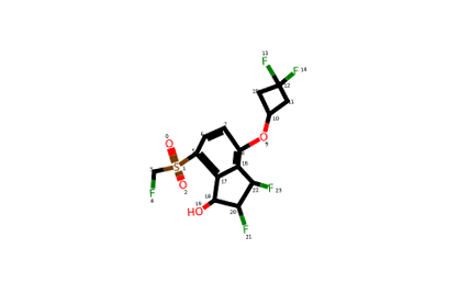 O=S(=O)(CF)c1ccc(OC2CC(F)(F)C2)c2c1C(O)C(F)C2F